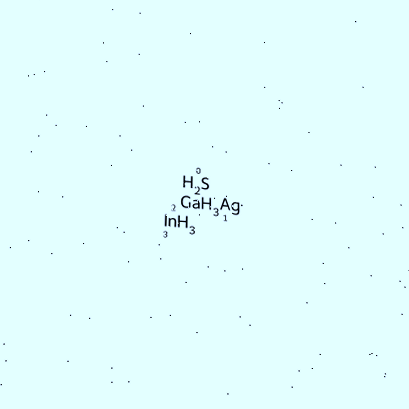 S.[Ag].[GaH3].[InH3]